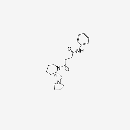 O=C(CCC(=O)N1CCCC[C@H]1CN1CCCC1)Nc1ccccc1